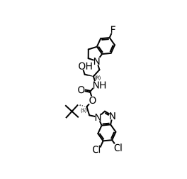 CC(C)(C)C[C@@H](Cn1cnc2cc(Cl)c(Cl)cc21)OC(=O)N[C@@H](CO)CN1CCc2cc(F)ccc21